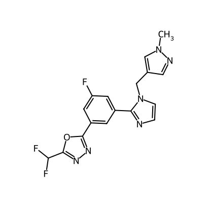 Cn1cc(Cn2ccnc2-c2cc(F)cc(-c3nnc(C(F)F)o3)c2)cn1